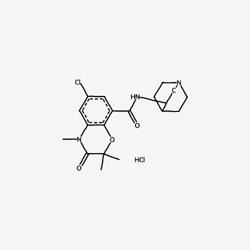 CN1C(=O)C(C)(C)Oc2c(C(=O)NC3CN4CCC3CC4)cc(Cl)cc21.Cl